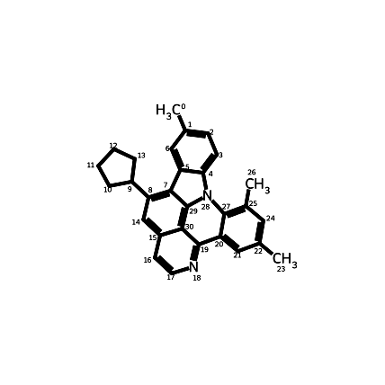 Cc1ccc2c(c1)c1c(C3CCCC3)cc3ccnc4c5cc(C)cc(C)c5n2c1c34